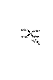 C=O.CCCCCC[N+](CCCCCC)(CCCCCC)CCCCCC